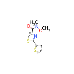 CON(C)C(=O)[C@@H]1CSC(c2cccs2)=N1